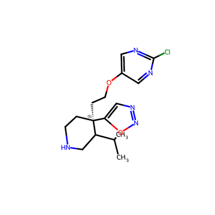 CC(C)C1CNCC[C@@]1(CCOc1cnc(Cl)nc1)c1cnno1